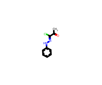 CC(=O)C(Cl)=NNc1ccccc1